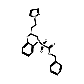 O=C(OCc1ccccc1)S(=O)(=O)N1C[C@H](CCn2cccn2)Oc2ccccc21